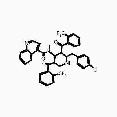 O=C(NC1C(C(=O)c2ccccc2C(F)(F)F)CNC(Cc2ccc(Cl)cc2)C1C(=O)c1ccccc1C(F)(F)F)c1ccnc2ccccc12